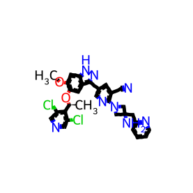 COc1cc2[nH]nc(-c3cnc(N4CC(N)(Cc5ccccn5)C4)c(C#N)c3)c2cc1O[C@H](C)c1c(Cl)cncc1Cl